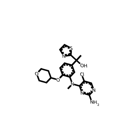 CN(c1cc(C(C)(O)c2nccs2)ccc1OC1CCOCC1)c1nc(N)ncc1Cl